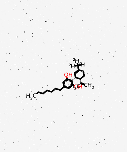 [2H]C([2H])([2H])C1=C[C@@H](c2c(O)cc(CCCCCCC)cc2O)[C@H](C(=C)C)CC1